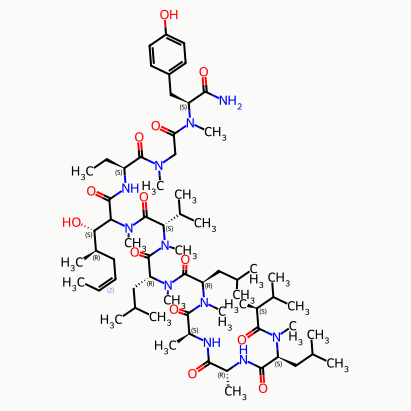 C/C=C\C[C@@H](C)[C@H](O)C(C(=O)N[C@@H](CC)C(=O)N(C)CC(=O)N(C)[C@@H](Cc1ccc(O)cc1)C(N)=O)N(C)C(=O)[C@H](C(C)C)N(C)C(=O)[C@@H](CC(C)C)N(C)C(=O)[C@@H](CC(C)C)N(C)C(=O)[C@H](C)NC(=O)[C@@H](C)NC(=O)[C@H](CC(C)C)N(C)C(=O)[C@@H](C)C(C)C